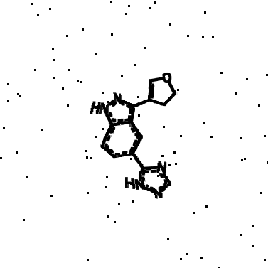 C1=C(c2n[nH]c3ccc(-c4ncn[nH]4)cc23)CCO1